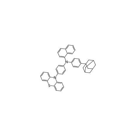 c1ccc2c(c1)Sc1ccccc1N2c1ccc(N(c2ccc(C34CC5CC(CC(C5)C3)C4)cc2)c2cccc3ccccc23)cc1